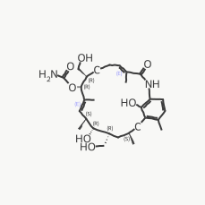 C/C1=C\CC[C@H](CO)[C@@H](OC(N)=O)/C(C)=C/[C@H](C)[C@@H](O)[C@@H](CO)C[C@H](C)Cc2c(C)ccc(c2O)NC1=O